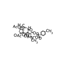 CC(=O)O[C@H]1C[C@H](OC(C)=O)[C@]2(C)[C@@H]1[C@H](C)C[C@@H]1OC(=O)[C@H](CN(C)COS(=O)(=O)c3ccc(C)cc3)[C@H]1[C@@H]2OC(C)=O